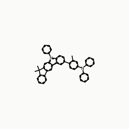 Cc1cc(N(c2ccccc2)c2ccccc2)ccc1-c1ccc2c(c1)c1cc3c(cc1n2-c1ccccc1)C(C)(C)c1ccccc1-3